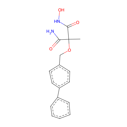 CC(OCc1ccc(-c2ccccc2)cc1)(C(N)=O)C(=O)NO